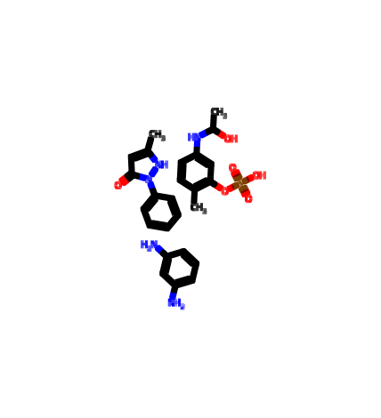 Cc1cc(=O)n(-c2ccccc2)[nH]1.Cc1ccc(NC(C)O)cc1OS(=O)(=O)O.Nc1cccc(N)c1